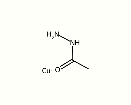 CC(=O)NN.[Cu]